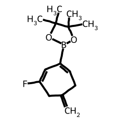 C=C1CC=C(B2OC(C)(C)C(C)(C)O2)C=C(F)C1